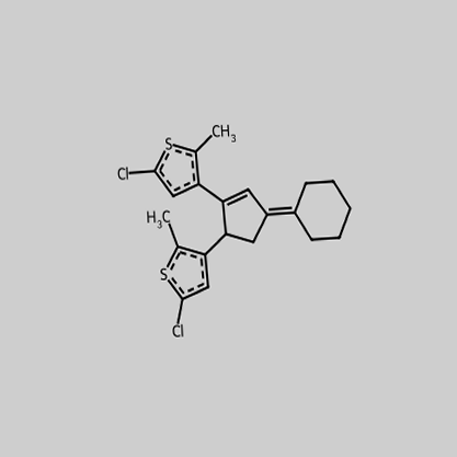 Cc1sc(Cl)cc1C1=CC(=C2CCCCC2)CC1c1cc(Cl)sc1C